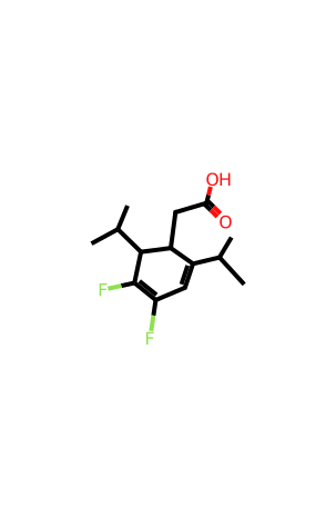 CC(C)C1=CC(F)=C(F)C(C(C)C)C1CC(=O)O